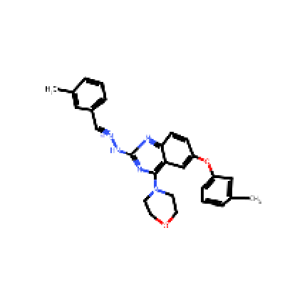 Cc1cccc(/C=N/Nc2nc(N3CCOCC3)c3cc(Oc4cccc(C)c4)ccc3n2)c1